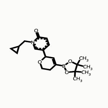 CC1(C)OB(C2=CC(c3ccc(=O)n(CC4CC4)c3)OCC2)OC1(C)C